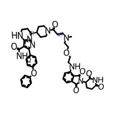 CN(/C=C/C(=O)N1CCC([C@@H]2CCNc3c(C(N)=O)c(-c4ccc(Oc5ccccc5)cc4)nn32)CC1)CCOCCNc1cccc2c1C(=O)N(C1CCC(=O)NC1=O)C2=O